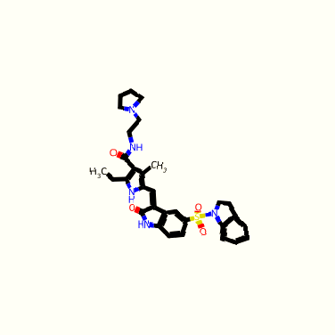 CCc1[nH]c(/C=C2\C(=O)Nc3ccc(S(=O)(=O)N4CCc5ccccc54)cc32)c(C)c1C(=O)NCCN1CCCC1